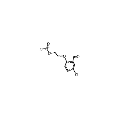 O=Cc1cc(Cl)ccc1OCCO[N+](=O)[O-]